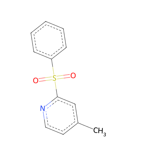 Cc1ccnc(S(=O)(=O)c2ccccc2)c1